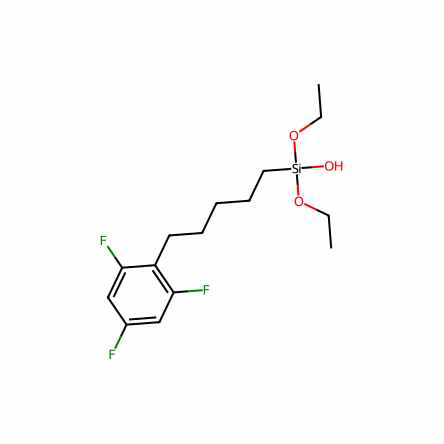 CCO[Si](O)(CCCCCc1c(F)cc(F)cc1F)OCC